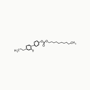 CCCCCCCCCCOC(=O)Oc1ccc(-c2ccc(CCC)cc2F)cc1